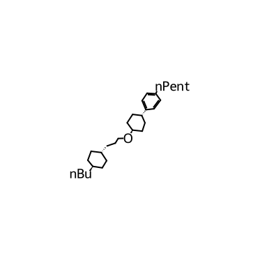 CCCCCc1ccc([C@H]2CC[C@H](OCCC[C@H]3CC[C@H](CCCC)CC3)CC2)cc1